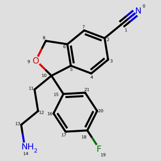 N#Cc1ccc2c(c1)COC2(CCCN)c1ccc(F)cc1